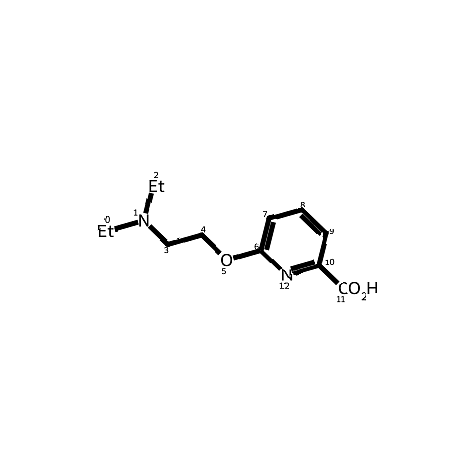 CCN(CC)CCOc1cccc(C(=O)O)n1